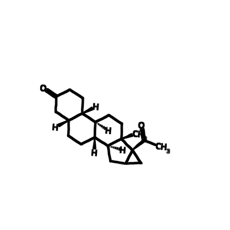 CC(=O)[C@@]12CC1C[C@H]1[C@@H]3CC[C@@H]4CC(=O)CC[C@@H]4[C@H]3CC[C@@]12C